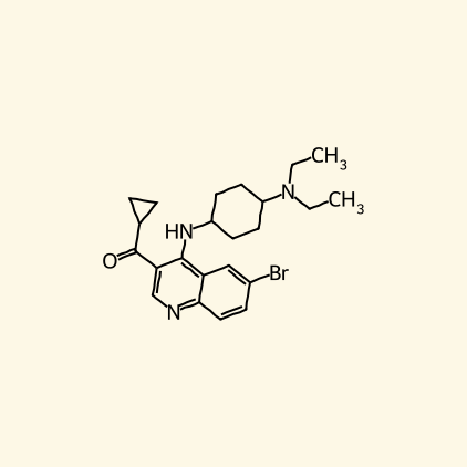 CCN(CC)C1CCC(Nc2c(C(=O)C3CC3)cnc3ccc(Br)cc23)CC1